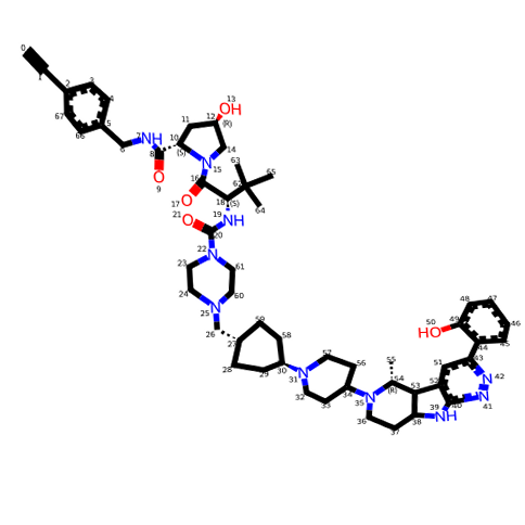 C#Cc1ccc(CNC(=O)[C@@H]2C[C@@H](O)CN2C(=O)[C@@H](NC(=O)N2CCN(C[C@H]3CC[C@H](N4CCC(N5CCC6Nc7nnc(-c8ccccc8O)cc7C6[C@H]5C)CC4)CC3)CC2)C(C)(C)C)cc1